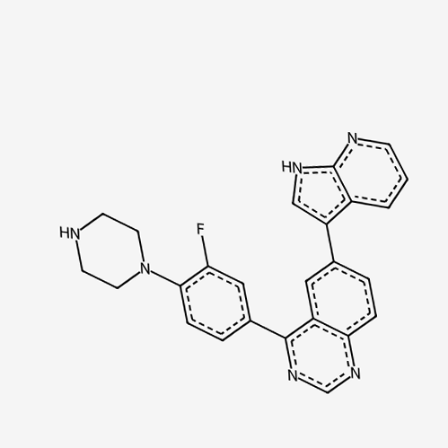 Fc1cc(-c2ncnc3ccc(-c4c[nH]c5ncccc45)cc23)ccc1N1CCNCC1